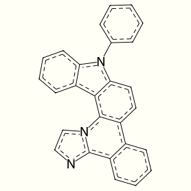 c1ccc(-n2c3ccccc3c3c2ccc2c4ccccc4c4nccn4c23)cc1